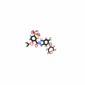 CC(C)Oc1ccc(S(C)(=O)=O)cc1C(=O)N1Cc2cc(F)c(OC3CCOCC3)cc2C1